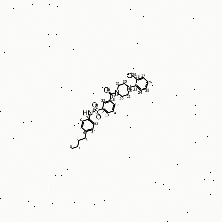 CCCCc1ccc(NS(=O)(=O)c2cccc(C(=O)N3CCN(c4ccccc4Cl)CC3)c2)cc1